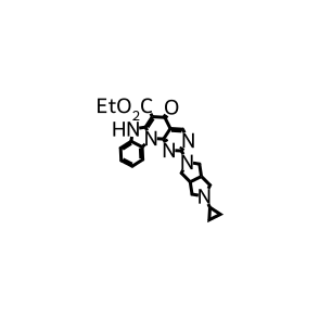 CCOC(=O)c1c(=O)c2cnc(N3CC4CN(C5CC5)CC4C3)nc2n2c1[nH]c1ccccc12